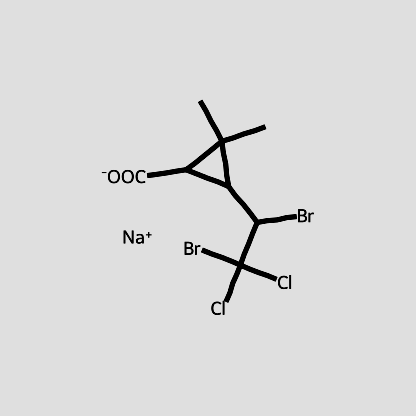 CC1(C)C(C(=O)[O-])C1C(Br)C(Cl)(Cl)Br.[Na+]